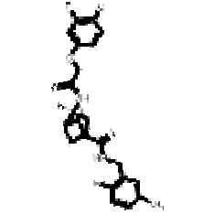 Cc1ccc(F)c(CNC(=O)C23CC(C2)[C@@H](NC(=O)COc2ccc(Cl)c(F)c2)C3)c1